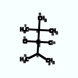 CC(C)[Si](Cl)(Cl)C(C)(C)C